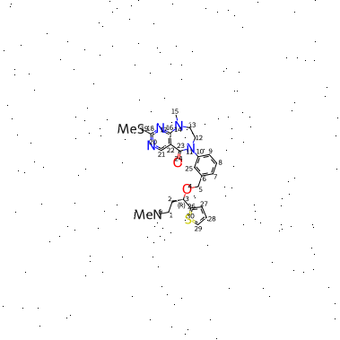 CNCC[C@@H](OCc1cccc(N2CCN(C)c3nc(SC)ncc3C2=O)c1)c1cccs1